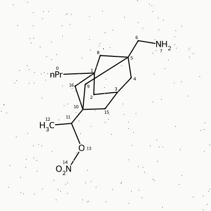 CCCC12CC3CC(CN)(C1)CC(C(C)O[N+](=O)[O-])(C3)C2